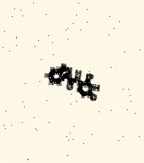 O=C1CCC(NC(=O)c2ncc3ccccn23)C(=O)N1